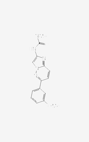 CNC(=O)Nc1cn2nc(-c3cccc(OC)c3)ccc2n1